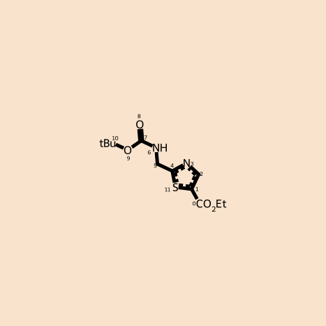 CCOC(=O)c1cnc(CNC(=O)OC(C)(C)C)s1